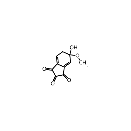 COC1(O)C=c2c(=O)c(=O)c(=O)c2=CC1